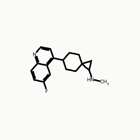 CNC1CC12CCC(c1ccnc3ccc(F)cc13)CC2